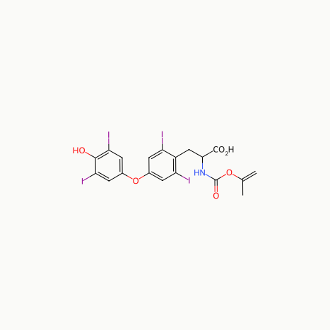 C=C(C)OC(=O)NC(Cc1c(I)cc(Oc2cc(I)c(O)c(I)c2)cc1I)C(=O)O